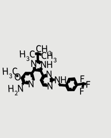 COc1cc(-c2nc(C(C)(C)C)[nH]c2-c2ccnc(NCc3ccc(C(F)(F)F)cc3)n2)cnc1N